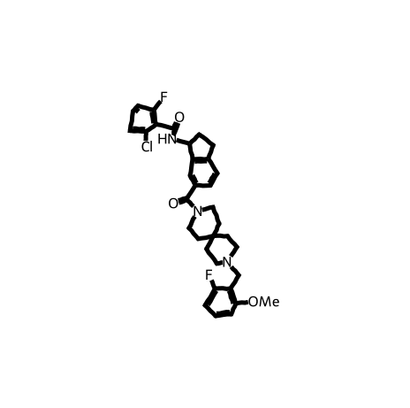 COc1cccc(F)c1CN1CCC2(CC1)CCN(C(=O)c1ccc3c(c1)C(NC(=O)c1c(F)cccc1Cl)CC3)CC2